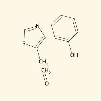 C=O.Cc1cncs1.Oc1ccccc1